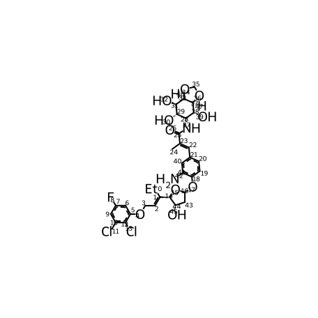 CCC(=CCOc1cc(F)cc(Cl)c1Cl)[C@H]1O[C@@H](Oc2ccc(C=C(C)C(=O)N[C@@H]3[C@H](O)[C@@H](O)[C@H]4OCO[C@H]4[C@@H]3O)cc2N)C[C@@H]1O